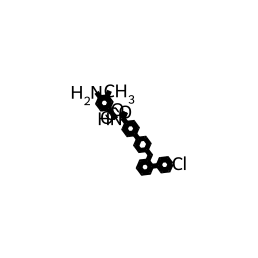 Cc1cc(S(=O)(=O)NC(=O)c2ccc(C3=CCC(Cc4ccccc4-c4ccc(Cl)cc4)CC3)cc2)ccc1N